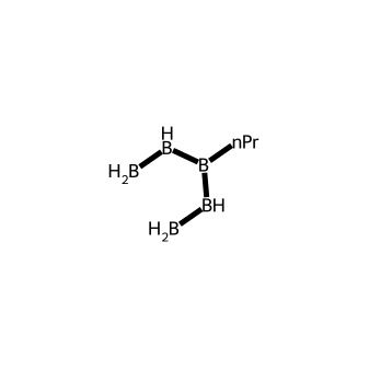 BBB(BB)CCC